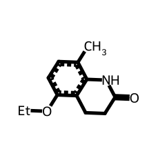 CCOc1ccc(C)c2c1CCC(=O)N2